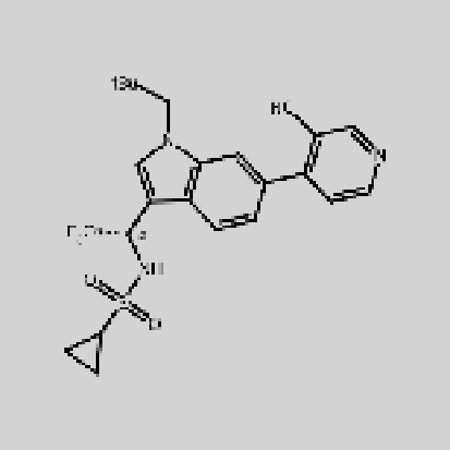 CC(C)(C)Cn1cc([C@H](NS(=O)(=O)C2CC2)C(F)(F)F)c2ccc(-c3ccncc3C#N)cc21